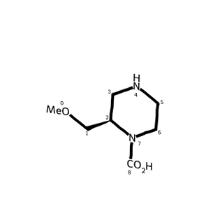 COC[C@H]1CNCCN1C(=O)O